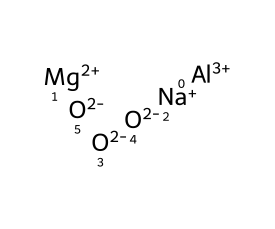 [Al+3].[Mg+2].[Na+].[O-2].[O-2].[O-2]